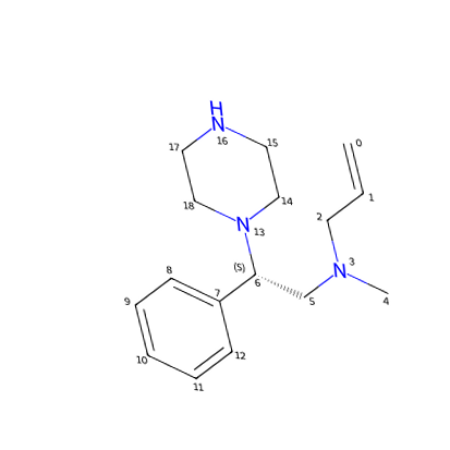 C=CCN(C)C[C@H](c1ccccc1)N1CCNCC1